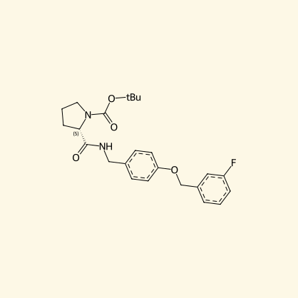 CC(C)(C)OC(=O)N1CCC[C@H]1C(=O)NCc1ccc(OCc2cccc(F)c2)cc1